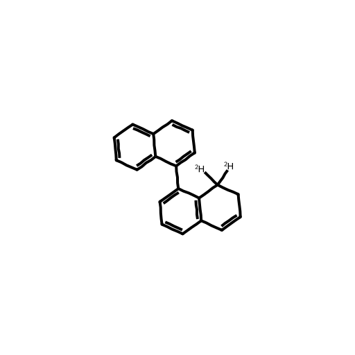 [2H]C1([2H])CC=Cc2cccc(-c3cccc4ccccc34)c21